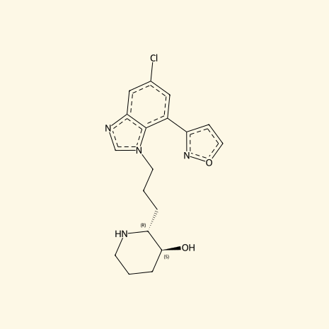 O[C@H]1CCCN[C@@H]1CCCn1cnc2cc(Cl)cc(-c3ccon3)c21